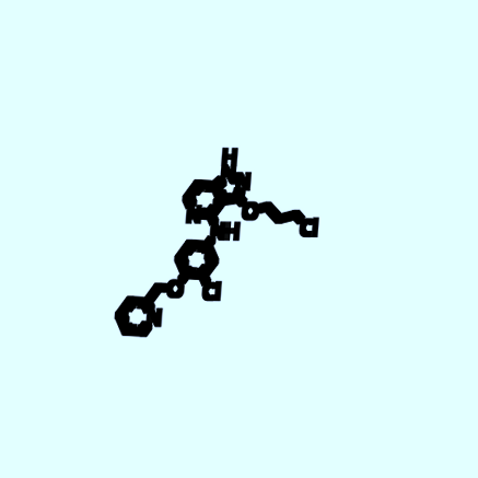 ClCCCOc1n[nH]c2ccnc(Nc3ccc(OCc4ccccn4)c(Cl)c3)c12